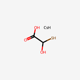 O=C(O)C(O)S.[CsH]